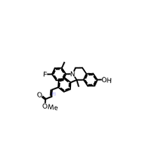 COC(=O)/C=C/c1ccc(C2(C)c3ccc(O)cc3CCN2c2ccc(F)cc2C)cc1